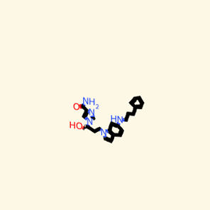 NC(=O)c1cn([C@@H](CO)CCn2ccc3ccc(NCCCc4ccccc4)cc32)cn1